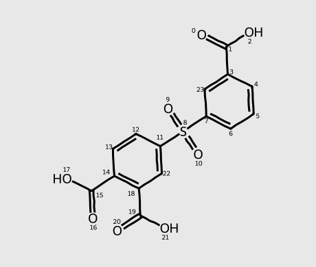 O=C(O)c1cccc(S(=O)(=O)c2ccc(C(=O)O)c(C(=O)O)c2)c1